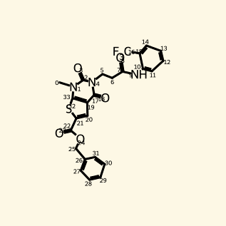 Cn1c(=O)n(CCC(=O)Nc2ccccc2C(F)(F)F)c(=O)c2cc(C(=O)OCc3ccccc3)sc21